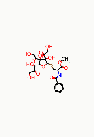 COC(=O)[C@H](CSC1O[C@H](C(O)C(=O)CO)[C@](O)(C(=O)CO)[C@]1(O)C(=O)CO)NC(=O)c1ccccc1